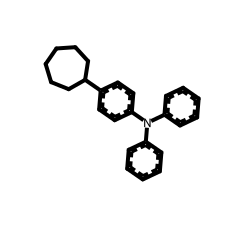 c1ccc(N(c2ccccc2)c2ccc(C3CCCCCC3)cc2)cc1